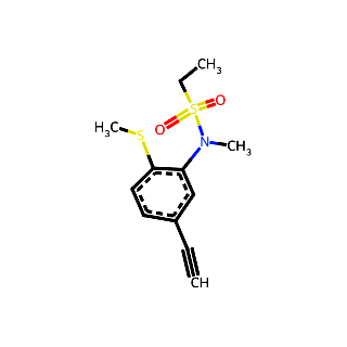 C#Cc1ccc(SC)c(N(C)S(=O)(=O)CC)c1